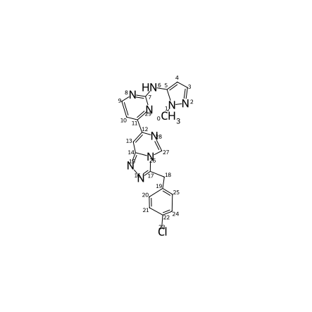 Cn1nccc1Nc1nccc(-c2cc3nnc(Cc4ccc(Cl)cc4)n3cn2)n1